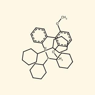 COc1cccc(OC)c1-c1ccccc1[PH](C1CCCCC1)(C1CCCCC1)P(C1CCCCC1)C1CCCCC1